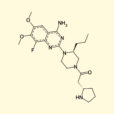 CCC[C@H]1CN(C(=O)C[C@@H]2CCCN2)CCN1c1nc(N)c2cc(OC)c(OC)c(F)c2n1